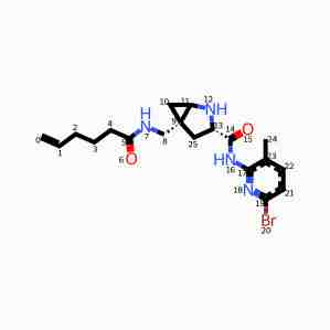 C=CCCCC(=O)NC[C@]12CC1N[C@H](C(=O)Nc1nc(Br)ccc1C)C2